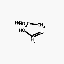 CC(=O)O.Cl.O=[PH2]O